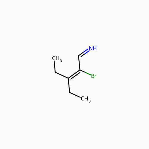 CCC(CC)=C(Br)C=N